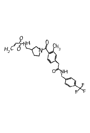 C=CS(=O)(=O)NCC1CCN(C(=O)c2ccc(CC(=O)NCc3ccc(C(F)(F)F)cc3)cc2C)C1